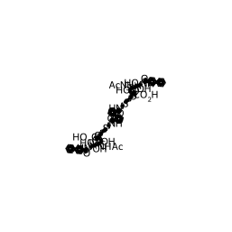 CC(=O)N[C@H]1[C@H]([C@H](O)[C@H](O)CNC(=O)c2ccc(-c3ccccc3)cc2)O[C@@](OCCCSCCNC(=O)c2ccccc2-c2ccccc2C(=O)NCCSCCCO[C@]2(C(=O)O)C[C@H](O)[C@@H](NC(C)=O)[C@H]([C@H](O)[C@H](O)CNC(=O)c3ccc(-c4ccccc4)cc3)O2)(C(=O)O)C[C@@H]1O